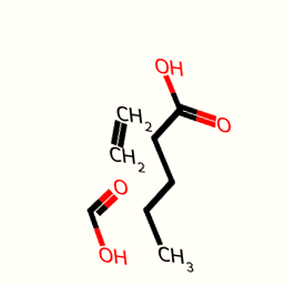 C=C.CCCCC(=O)O.O=CO